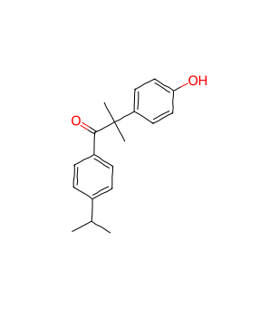 CC(C)c1ccc(C(=O)C(C)(C)c2ccc(O)cc2)cc1